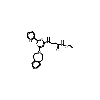 CCONC(=O)CCNc1cc(N2CCc3ccccc3CC2)nc(-c2ccccn2)n1